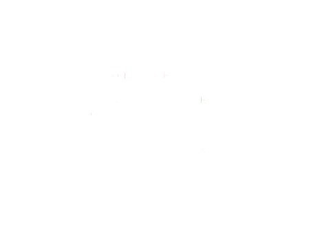 CC(=O)c1ccc(C(=O)O)c(O)c1Br